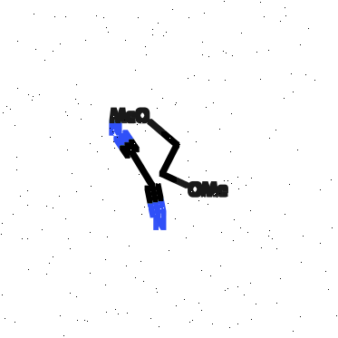 COCCOC.N#CC#N